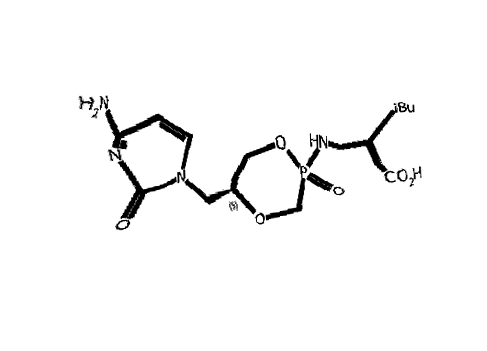 CCC(C)C(NP1(=O)CO[C@@H](Cn2ccc(N)nc2=O)CO1)C(=O)O